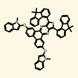 Cn1c(Oc2ccc3c4ccc(Oc5cc6ccccc6n5C)cc4c4nc5c(-c6cccc7c6-c6ccccc6C7(C)C)sc(-c6cccc7c6-c6ccccc6C7(C)C)c5nc4c3c2)cc2ccccc21